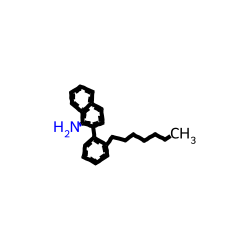 CCCCCCCc1ccccc1-c1ccc2ccccc2c1N